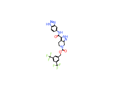 O=C(Nc1ccc2[nH]nnc2c1)c1[nH]nc2c1CCN(C(=O)OCc1cc(C(F)(F)F)cc(C(F)(F)F)c1)C2